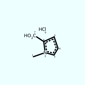 Cl.Cn1cccc1C(=O)O